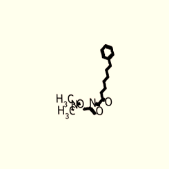 CN(C)OCc1coc(C(=O)CCCCCCc2ccccc2)n1